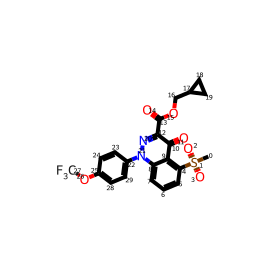 CS(=O)(=O)c1cccc2c1c(=O)c(C(=O)OCC1CC1)nn2-c1ccc(OC(F)(F)F)cc1